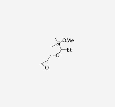 CCC(OCC1CO1)[Si](C)(C)OC